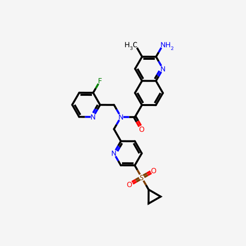 Cc1cc2cc(C(=O)N(Cc3ccc(S(=O)(=O)C4CC4)cn3)Cc3ncccc3F)ccc2nc1N